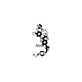 COc1cc2c(Nc3ccc(Sc4nccn4C)c(Cl)c3)c(C#N)cnc2cc1-c1csc(CN2CCN(C)CC2)c1